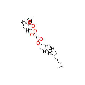 CC(C)CCCC[C@H]1CC[C@H]2[C@@H]3CC=C4C[C@@H](OC(=O)CCC(=O)O[C@@H]5O[C@@H]6O[C@]7(C)CC[C@H]8[C@H](C)CC[C@@H]([C@H]5C)[C@@]68OO7)CC[C@]4(C)[C@H]3CC[C@]12C